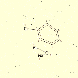 CC[O-].Clc1ccccc1.[Na+]